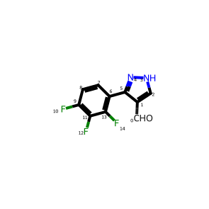 O=Cc1c[nH]nc1-c1ccc(F)c(F)c1F